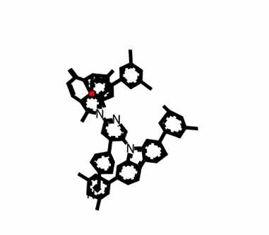 C=C(/C=C\c1c(C)n(-c2cc(-c3ccc(C#N)cc3)c(-n3c4cc(-c5cc(C)cc(C)c5)ccc4c4ccc(-c5cc(C)cc(C)c5)cc43)cn2)c2cc(-c3cc(C)cc(C)c3)ccc12)c1cc(C)cc(C)c1